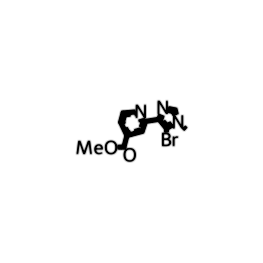 COC(=O)c1ccnc(-c2ncn(C)c2Br)c1